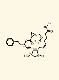 CCNC(=O)CCC/C=C\C[C@@H]1[C@@H](/C=C/[C@H](CCc2ccccc2)OC(=O)C2C[C@@H]2CO[N+](=O)[O-])[C@H](O)C[C@@H]1O